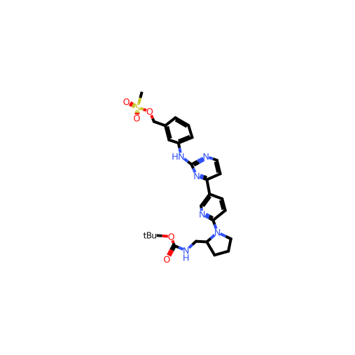 CC(C)(C)OC(=O)NCC1CCCN1c1ccc(-c2ccnc(Nc3cccc(COS(C)(=O)=O)c3)n2)cn1